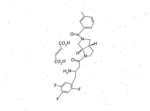 Cc1cccc(C(=O)N2C[C@@H]3CCN(C(=O)CC(N)Cc4cc(F)c(F)cc4F)[C@@H]3C2)c1.O=C(O)C=CC(=O)O